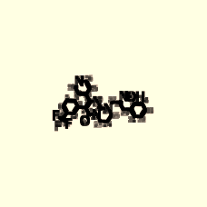 O=c1c(-c2cccc(C(F)(F)F)c2)c(-c2ccncc2)nc2n1CCCN2C/C(Cc1ccccc1)=N/O